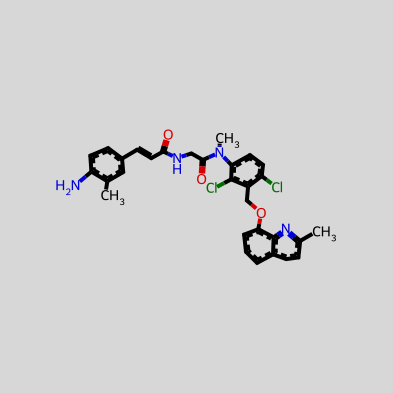 Cc1ccc2cccc(OCc3c(Cl)ccc(N(C)C(=O)CNC(=O)/C=C/c4ccc(N)c(C)c4)c3Cl)c2n1